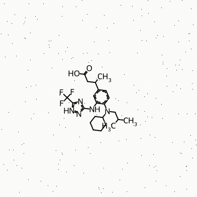 CC(C)CN(c1ccc(C(C)CC(=O)O)cc1Nc1n[nH]c(C(F)(F)F)n1)C1CCCCC1